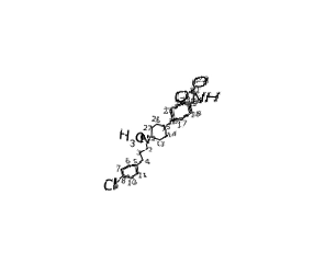 CN(CCCc1ccc(Cl)cc1)[C@H]1CC[C@H](c2ccc3[nH]c(=O)oc3c2)CC1